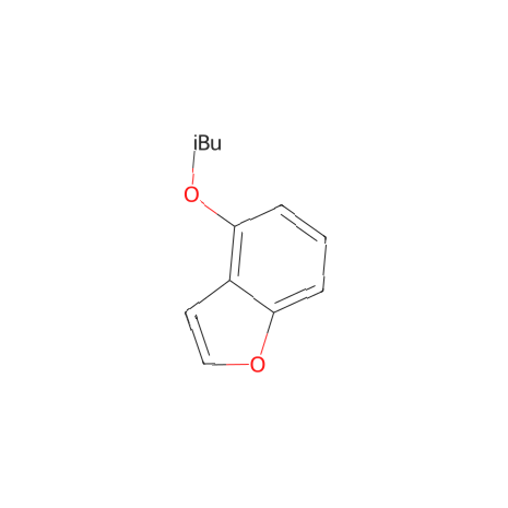 CCC(C)Oc1cccc2occc12